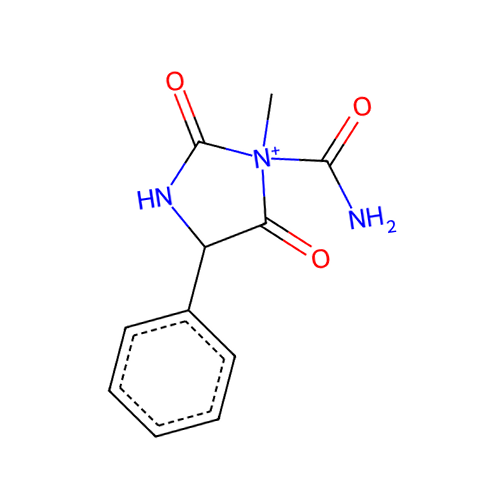 C[N+]1(C(N)=O)C(=O)NC(c2ccccc2)C1=O